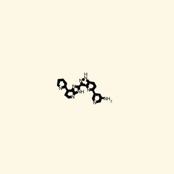 Nc1cncc(-c2ccc3[nH]nc(-c4nc5c(-c6ccccn6)ccnc5[nH]4)c3n2)c1